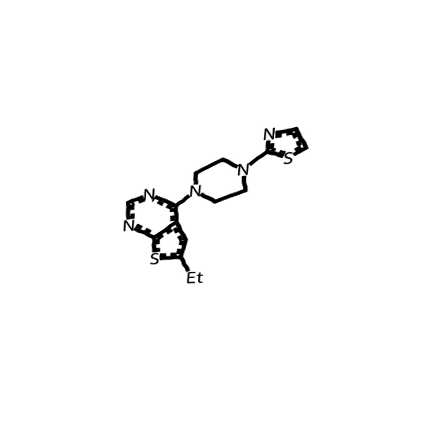 CCc1cc2c(N3CCN(c4nccs4)CC3)ncnc2s1